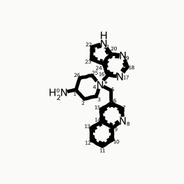 NC1CC[N+](Cc2cnc3ccccc3c2)(c2ncnc3[nH]ccc23)CC1